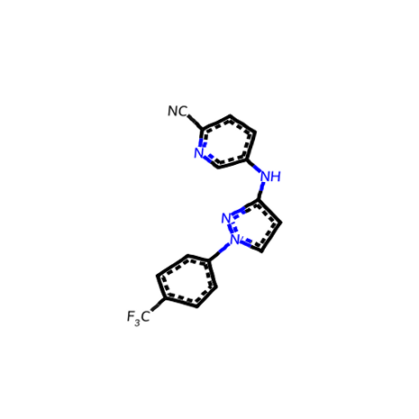 N#Cc1ccc(Nc2ccn(-c3ccc(C(F)(F)F)cc3)n2)cn1